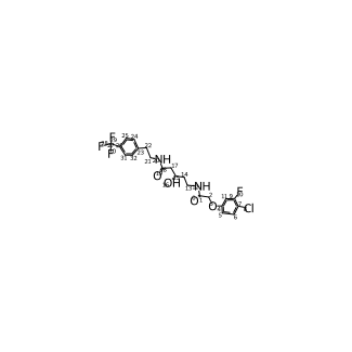 O=C(COc1ccc(Cl)c(F)c1)NCCC(O)CC(=O)NCCc1ccc(C(F)(F)F)cc1